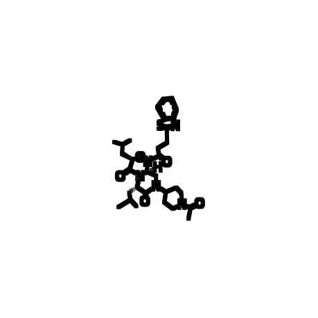 CC(=O)N1CCC(N2C[C@@H]3N(C(=O)CCc4nc5ccccc5s4)O[C@H](CC(C)C)C(=O)N3[C@@H](CC(C)C)C2=O)CC1